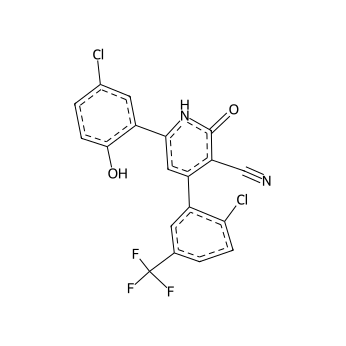 N#Cc1c(-c2cc(C(F)(F)F)ccc2Cl)cc(-c2cc(Cl)ccc2O)[nH]c1=O